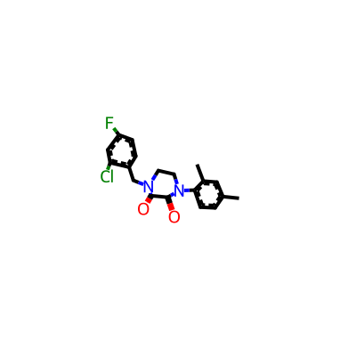 Cc1ccc(N2CCN(Cc3ccc(F)cc3Cl)C(=O)C2=O)c(C)c1